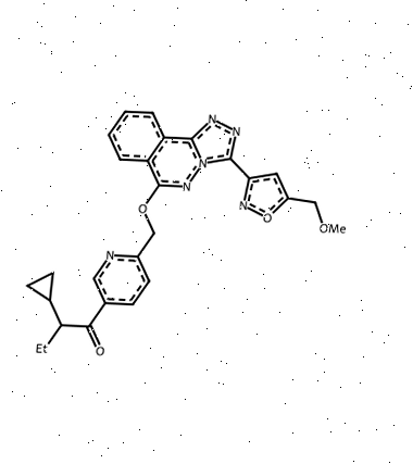 CCC(C(=O)c1ccc(COc2nn3c(-c4cc(COC)on4)nnc3c3ccccc23)nc1)C1CC1